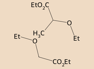 CCOC(=O)C(C)OCC.CCOCC(=O)OCC